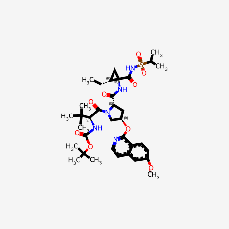 CC[C@@H]1C[C@]1(NC(=O)[C@@H]1C[C@@H](Oc2nccc3cc(OC)ccc23)CN1C(=O)[C@@H](NC(=O)OC(C)(C)C)C(C)(C)C)C(=O)NS(=O)(=O)C(C)C